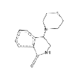 O=C1NCC(N2CCSCC2)c2ccccc21